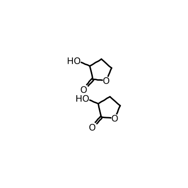 O=C1OCCC1O.O=C1OCCC1O